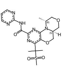 C[C@@H]1COC[C@H]2COc3c(nc(C(=O)Nc4ncccn4)nc3C(C)(C)S(C)(=O)=O)N21